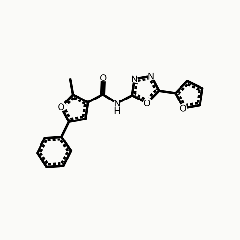 Cc1oc(-c2ccccc2)cc1C(=O)Nc1nnc(-c2ccco2)o1